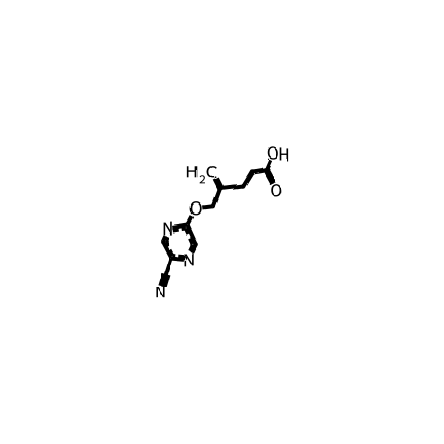 C=C(CCC(=O)O)COc1cnc(C#N)cn1